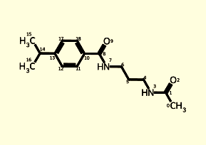 CC(=O)NCCCNC(=O)c1ccc(C(C)C)cc1